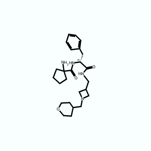 NC1(C(=O)N[C@H](Cc2ccccc2)C(=O)NCC2CN(CC3CCOCC3)C2)CCCC1